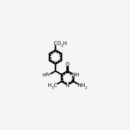 CCCC(c1ccc(C(=O)O)cc1)c1c(C)nc(N)[nH]c1=O